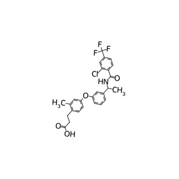 Cc1cc(Oc2cccc(C(C)NC(=O)c3ccc(C(F)(F)F)cc3Cl)c2)ccc1CCC(=O)O